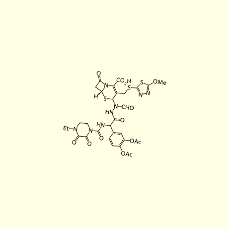 CCN1CCN(C(=O)NC(C(=O)NN(C=O)C2S[C@@H]3CC(=O)N3C(C(=O)O)=C2CSc2nnc(OC)s2)c2ccc(OC(C)=O)c(OC(C)=O)c2)C(=O)C1=O